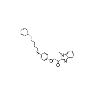 Cn1c(C(=O)COc2ccc(SCCCCCc3ccccc3)cc2)nc2ccccc21